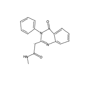 CNC(=O)[CH]c1nc2ccccc2c(=O)n1-c1ccccc1